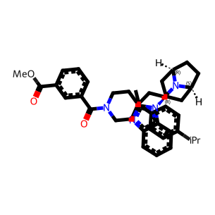 COC(=O)c1cccc(C(=O)N2CCC(CCN3[C@@H]4CC[C@H]3C[C@@H](n3c(C)nc5ccccc53)C4)(c3ccc(C(C)C)cc3)CC2)c1